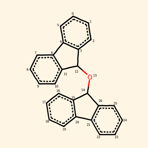 c1ccc2c(c1)-c1ccccc1C2OC1c2ccccc2-c2ccccc21